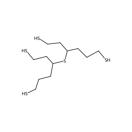 SCCCC(CCS)SC(CCS)CCCS